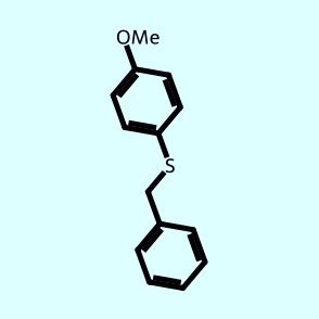 COc1ccc(SCc2ccccc2)cc1